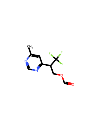 Cc1cc(C(COC=O)C(F)(F)F)ncn1